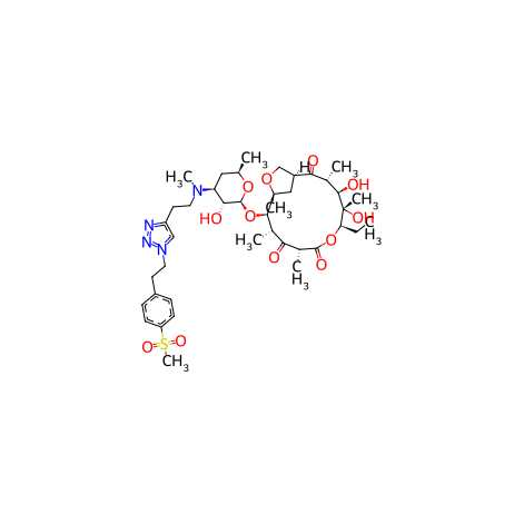 CC[C@H]1OC(=O)[C@H](C)C(=O)[C@H](C)[C@@H](O[C@@H]2O[C@H](C)C[C@H](N(C)CCc3cn(CCc4ccc(S(C)(=O)=O)cc4)nn3)[C@H]2O)[C@@]2(C)C[C@@H](CO2)C(=O)[C@H](C)[C@@H](O)[C@]1(C)O